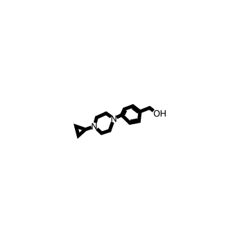 OCc1ccc(N2CCN(C3CC3)CC2)cc1